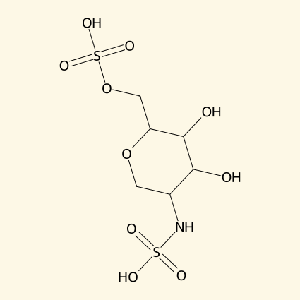 O=S(=O)(O)NC1COC(COS(=O)(=O)O)C(O)C1O